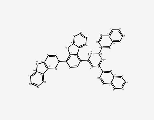 C1=CC(c2ccc(C3=NC(c4ccc5ccccc5c4)=NC(c4ccc5ccccc5c4)N3)c3c2oc2ccccc23)Cc2c1oc1ccccc21